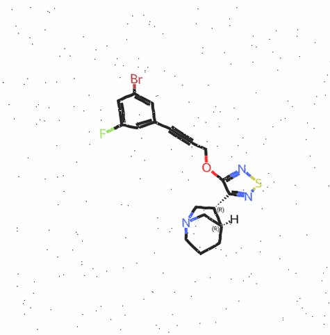 Fc1cc(Br)cc(C#CCOc2nsnc2[C@H]2CN3CCC[C@H]2C3)c1